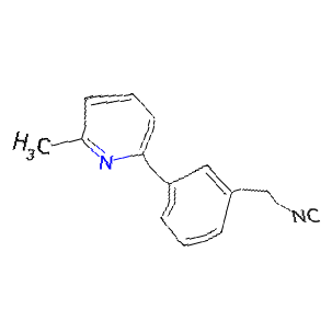 [C-]#[N+]Cc1cccc(-c2cccc(C)n2)c1